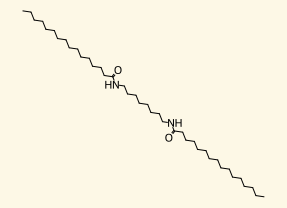 CCCCCCCCCCCCCCCC(=O)NCCCCCCCCNC(=O)CCCCCCCCCCCCCCC